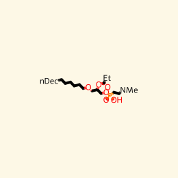 CCCCCCCCCCCCCCCCOCC(COP(=O)(O)CCNC)OC(=O)CC